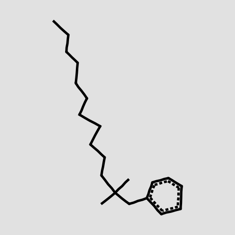 CCCCCCCCCCCC(C)(C)Cc1ccccc1